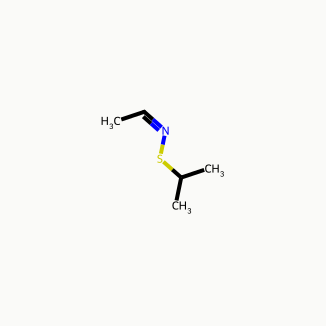 C/C=N\SC(C)C